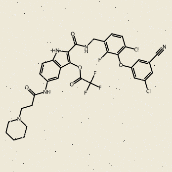 N#Cc1cc(Cl)cc(Oc2c(Cl)ccc(CNC(=O)c3[nH]c4ccc(NC(=O)CCN5CCCCC5)cc4c3OC(=O)C(F)(F)F)c2F)c1